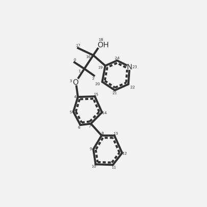 CC(C)(Oc1ccc(-c2ccccc2)cc1)C(C)(O)c1cccnc1